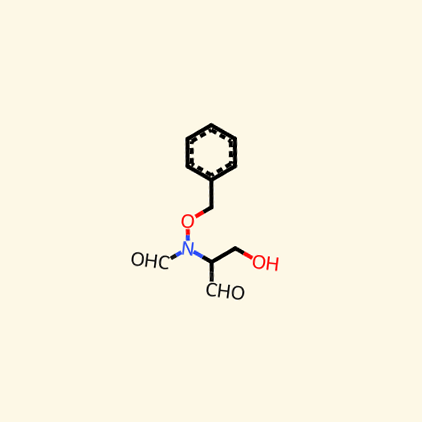 O=CC(CO)N(C=O)OCc1ccccc1